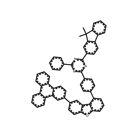 CC1(C)c2ccccc2-c2ccc(-c3nc(-c4ccccc4)nc(-c4ccc(-c5cccc6oc7ccc(-c8ccc9c%10ccccc%10c%10ccccc%10c9c8)cc7c56)cc4)n3)cc21